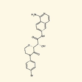 Nc1nccc2cc(NC(=O)[C@H](O)[C@H]3OCCN(c4ccc(Br)cc4)C3=O)ccc12